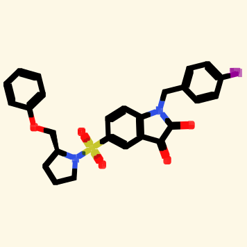 O=C1C(=O)N(Cc2ccc([123I])cc2)c2ccc(S(=O)(=O)N3CCC[C@H]3COc3ccccc3)cc21